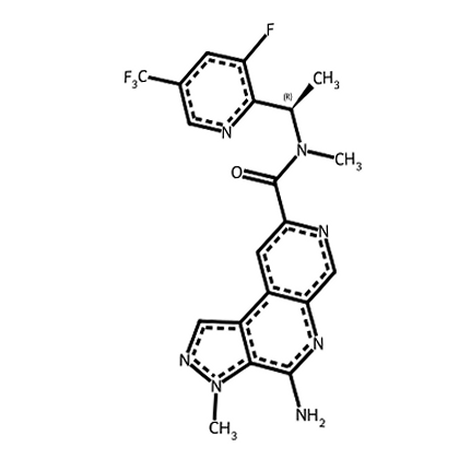 C[C@H](c1ncc(C(F)(F)F)cc1F)N(C)C(=O)c1cc2c(cn1)nc(N)c1c2cnn1C